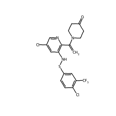 C=C(c1ncc(Cl)cc1NSc1ccc(Cl)c(C(F)(F)F)c1)N1CCC(=O)CC1